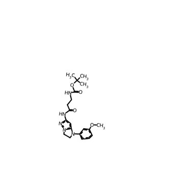 COc1cccc(N2CCn3nc(NC(=O)CCNC(=O)OC(C)(C)C)cc32)c1